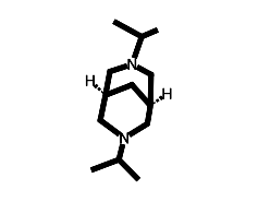 CC(C)N1C[C@H]2CN(C(C)C)C[C@@H](C1)C2